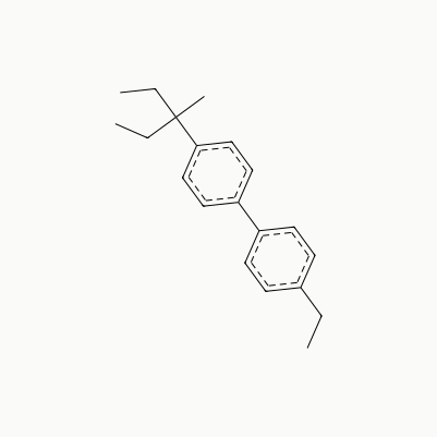 CCc1ccc(-c2ccc(C(C)(CC)CC)cc2)cc1